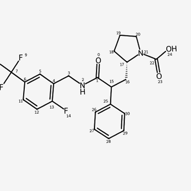 O=C(NCc1cc(C(F)(F)F)ccc1F)C(C[C@@H]1CCCN1C(=O)O)c1ccccc1